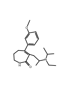 CCN(C(C)C)C(C)CC1=C(c2cccc(OC)c2)CCCNC1=O